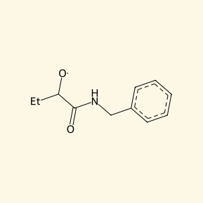 CCC([O])C(=O)NCc1ccccc1